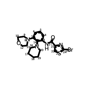 O=C(Nc1cccc(N2CCOCC2)c1N1CCCCC1)c1csc(Br)n1